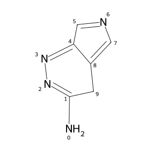 NC1=NN=C2C=NC=C2C1